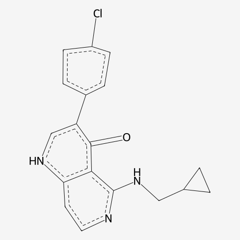 O=c1c(-c2ccc(Cl)cc2)c[nH]c2ccnc(NCC3CC3)c12